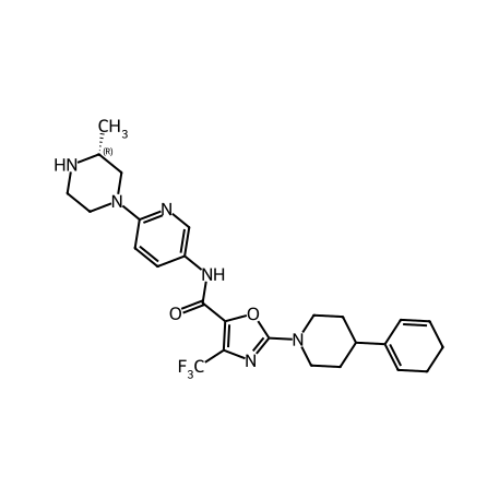 C[C@@H]1CN(c2ccc(NC(=O)c3oc(N4CCC(C5=CCCC=C5)CC4)nc3C(F)(F)F)cn2)CCN1